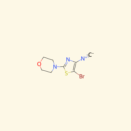 [C-]#[N+]c1nc(N2CCOCC2)sc1Br